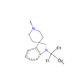 CCC(C)(CC)N1CC2(CCN(I)CC2)c2ccccc21